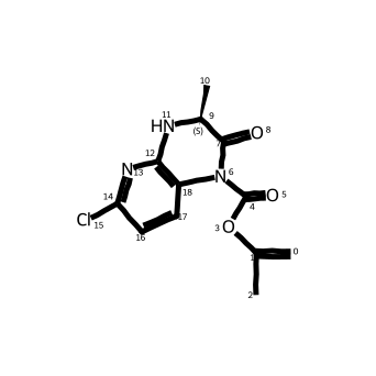 C=C(C)OC(=O)N1C(=O)[C@H](C)Nc2nc(Cl)ccc21